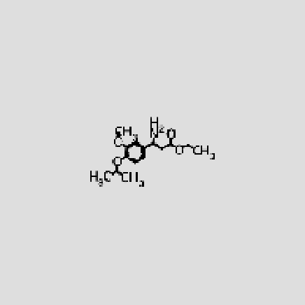 CCOC(=O)CC(N)c1ccc(OC(C)C)c(OC)c1